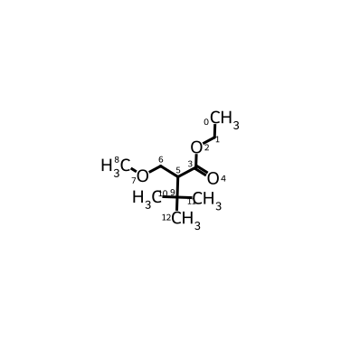 CCOC(=O)C(COC)C(C)(C)C